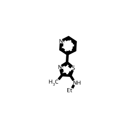 CCNc1sc(-c2cccnc2)nc1C